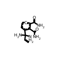 C=CC(N)(N)c1cccc(C(N)=O)c1C(N)=O